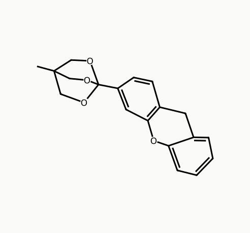 CC12COC(c3ccc4c(c3)Oc3ccccc3C4)(OC1)OC2